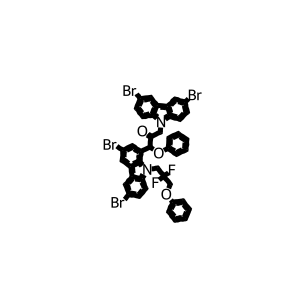 O=C(Cn1c2ccc(Br)cc2c2cc(Br)ccc21)C(Oc1ccccc1)c1cc(Br)cc2c3cc(Br)ccc3n(CC(F)(F)COc3ccccc3)c12